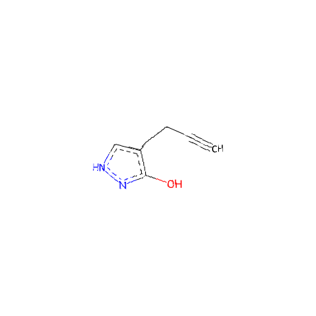 C#CCc1c[nH]nc1O